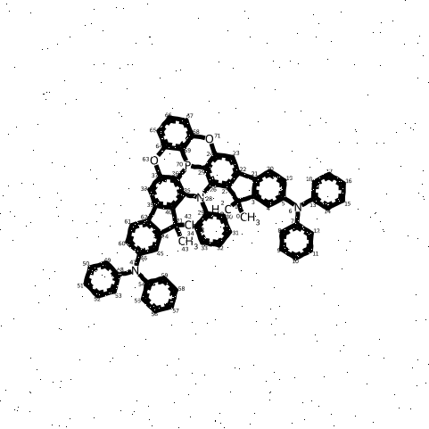 CC1(C)c2cc(N(c3ccccc3)c3ccccc3)ccc2-c2cc3c4c(c21)N(c1ccccc1)c1c2c(cc5c1C(C)(C)c1cc(N(c6ccccc6)c6ccccc6)ccc1-5)Oc1cccc(c1P42)O3